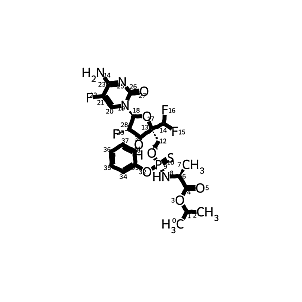 CC(C)OC(=O)[C@H](C)NP(=S)(OC[C@@]1(C(F)F)O[C@@H](n2cc(F)c(N)nc2=O)[C@@H](F)[C@@H]1O)Oc1ccccc1